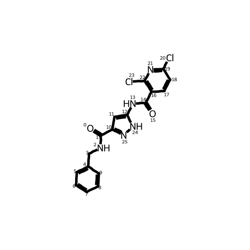 O=C(NCc1ccccc1)c1cc(NC(=O)c2ccc(Cl)nc2Cl)[nH]n1